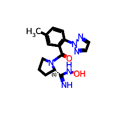 Cc1ccc(-n2nccn2)c(C(=O)N2CCC[C@H]2C(=N)NO)c1